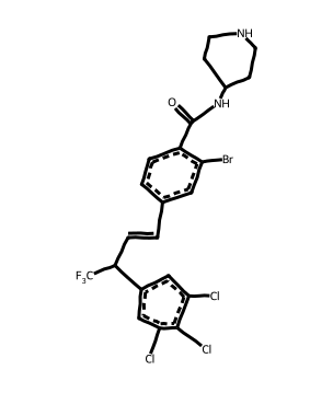 O=C(NC1CCNCC1)c1ccc(C=CC(c2cc(Cl)c(Cl)c(Cl)c2)C(F)(F)F)cc1Br